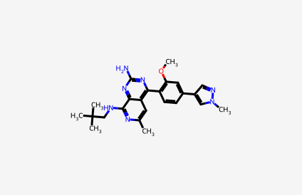 COc1cc(-c2cnn(C)c2)ccc1-c1nc(N)nc2c(NCC(C)(C)C)nc(C)cc12